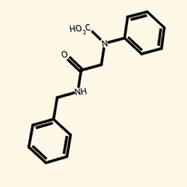 O=C(CN(C(=O)O)c1ccccc1)NCc1ccccc1